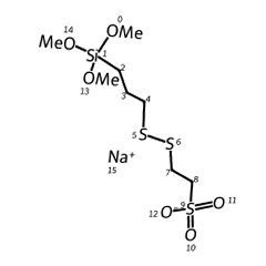 CO[Si](CCCSSCCS(=O)(=O)[O-])(OC)OC.[Na+]